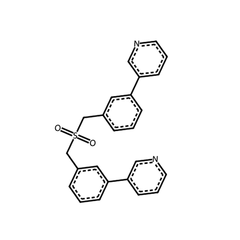 O=S(=O)(Cc1cccc(-c2cccnc2)c1)Cc1cccc(-c2cccnc2)c1